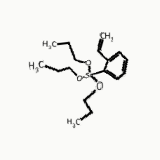 C=Cc1ccccc1[Si](OCCC)(OCCC)OCCC